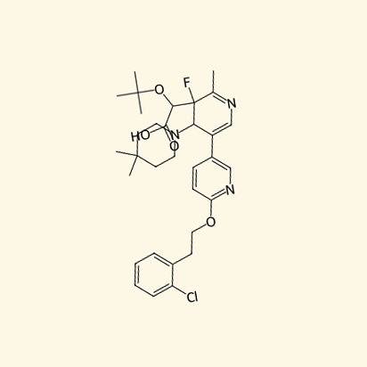 CC1=NC=C(c2ccc(OCCc3ccccc3Cl)nc2)C(N2CCC(C)(C)CC2)C1(F)C(OC(C)(C)C)C(=O)O